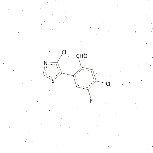 O=Cc1cc(Cl)c(F)cc1-c1scnc1Cl